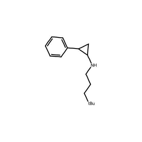 CC(C)(C)CCCNC1CC1c1ccccc1